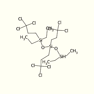 CC[SiH](CC)O[Si](CCC(Cl)(Cl)Cl)(CCC(Cl)(Cl)Cl)O[Si](CC)(CC)CCC(Cl)(Cl)Cl